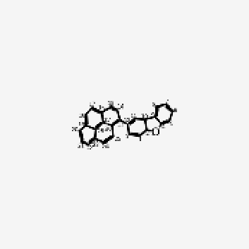 C1=CC2Oc3ccccc3C2C=C1c1ccc2ccc3cccc4ccc1c2c34